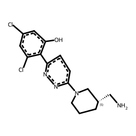 NC[C@@H]1CCCN(c2ccc(-c3c(O)cc(Cl)cc3Cl)nn2)C1